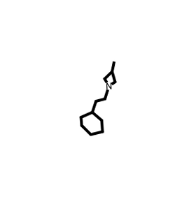 CC1CN(CCC2CCCCC2)C1